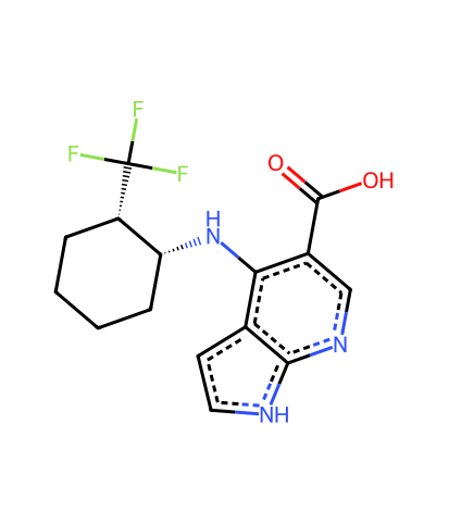 O=C(O)c1cnc2[nH]ccc2c1N[C@@H]1CCCC[C@@H]1C(F)(F)F